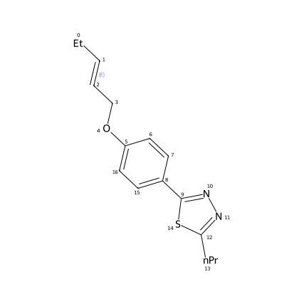 CC/C=C/COc1ccc(-c2nnc(CCC)s2)cc1